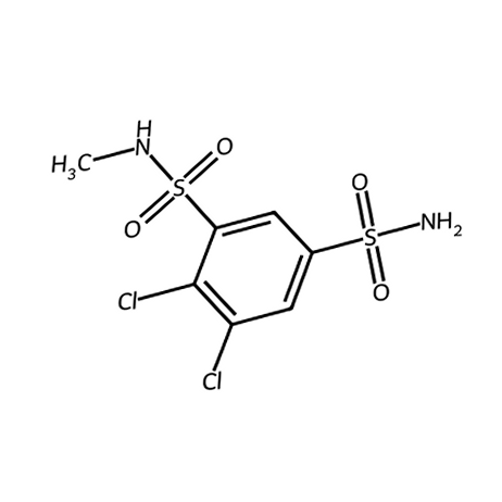 CNS(=O)(=O)c1cc(S(N)(=O)=O)cc(Cl)c1Cl